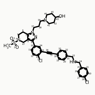 CS(=O)(=O)N1CCc2c(c(-c3ccc(Cl)c(C#Cc4ccc(CNCc5ccc(Cl)cc5)cc4)c3)nn2CCCN2CCC(O)CC2)C1